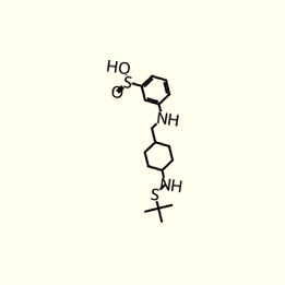 CC(C)(C)SNC1CCC(CNc2cccc(S(=O)O)c2)CC1